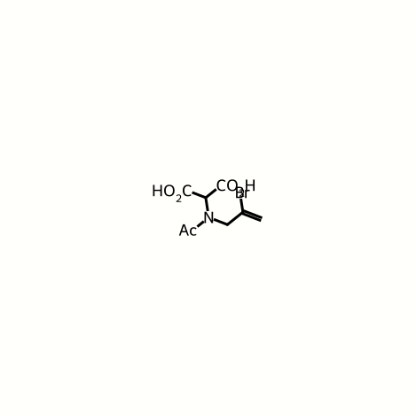 C=C(Br)CN(C(C)=O)C(C(=O)O)C(=O)O